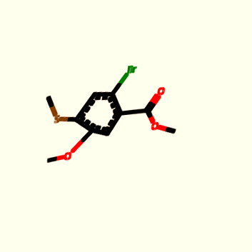 COC(=O)c1cc(OC)c(SC)cc1Br